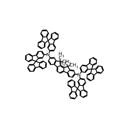 CC1(C)c2cc(N(c3ccc4c(c3)C3(c5ccccc5-c5ccccc53)c3ccccc3-4)c3ccc4c(c3)C3(c5ccccc5-c5ccccc53)c3ccccc3-4)ccc2-c2ccc3c(c21)C(C)(C)c1cc(N(c2ccc4c(c2)C2(c5ccccc5-c5ccccc52)c2ccccc2-4)c2ccc4c(c2)C2(c5ccccc5-c5ccccc52)c2ccccc2-4)ccc1-3